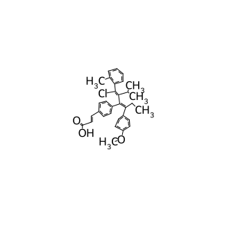 CC/C(=C(\C(=C(/Cl)c1ccccc1C)C(C)C)c1ccc(/C=C/C(=O)O)cc1)c1ccc(OC)cc1